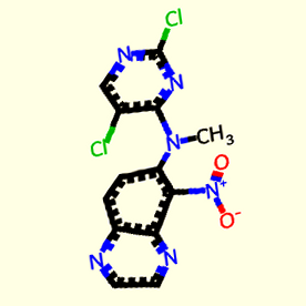 CN(c1ccc2nccnc2c1[N+](=O)[O-])c1nc(Cl)ncc1Cl